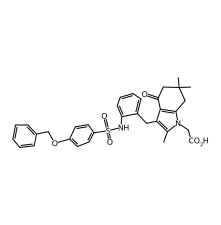 Cc1c(Cc2ccccc2NS(=O)(=O)c2ccc(OCc3ccccc3)cc2)c2c(n1CC(=O)O)CC(C)(C)CC2=O